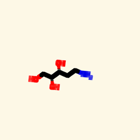 NCC[C@@H](O)[C@H](O)CO